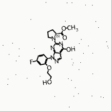 COC(=O)[C@@H]1CCCN1c1nc(O)c2cnn(-c3ccc(F)cc3OCCO)c2n1